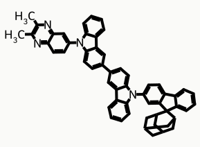 Cc1nc2ccc(-n3c4ccccc4c4cc(-c5ccc6c(c5)c5ccccc5n6-c5ccc6c(c5)C5(c7ccccc7-6)C6CC7CC(C6)CC5C7)ccc43)cc2nc1C